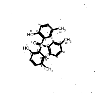 Cc1ccc(O)c(P(=O)(c2cc(C)ccc2O)c2cc(C)ccc2O)c1